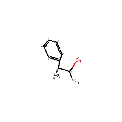 O=[N+]([O-])C(O)C(c1ccccc1)[N+](=O)[O-]